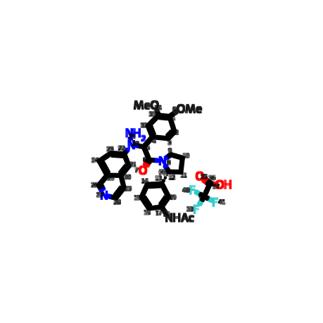 COc1ccc(C(C(=O)N2CCC[C@@H]2c2cccc(NC(C)=O)c2)N(N)c2ccc3cnccc3c2)cc1OC.O=C(O)C(F)(F)F